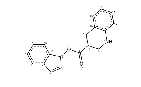 O=C(OC1C=Cc2ccccc21)C1CNc2ccccc2C1